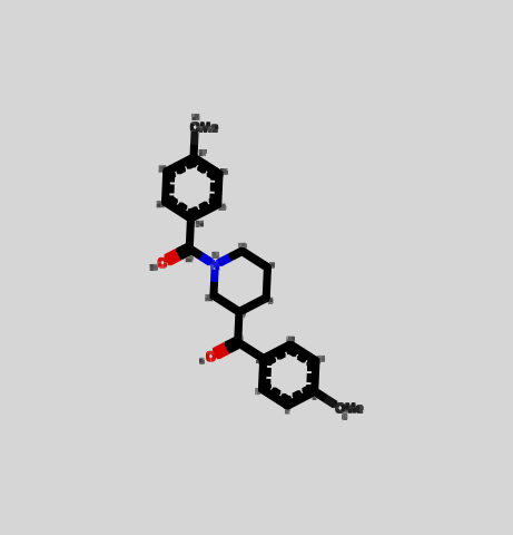 COc1ccc(C(=O)C2CCCN(C(=O)c3ccc(OC)cc3)C2)cc1